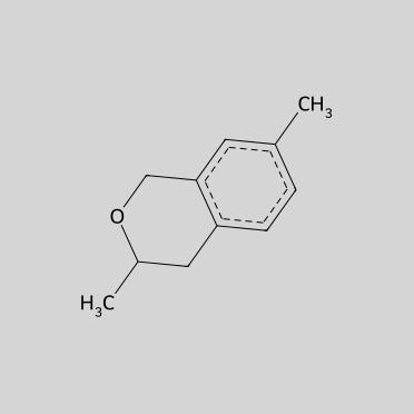 Cc1ccc2c(c1)COC(C)C2